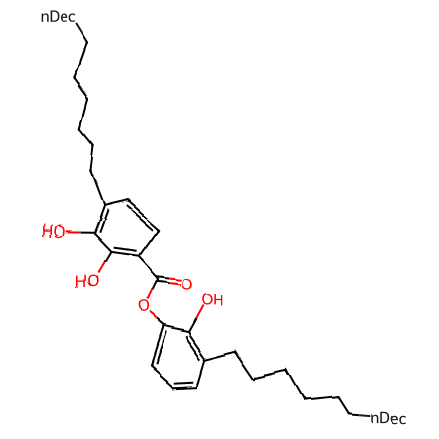 CCCCCCCCCCCCCCCCc1cccc(OC(=O)c2ccc(CCCCCCCCCCCCCCCC)c(O)c2O)c1O